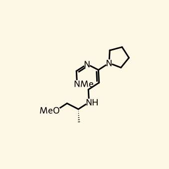 CN/C=N\C(=C/CN[C@H](C)COC)N1CCCC1